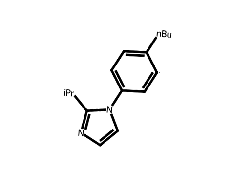 CCCCc1[c]cc(-n2ccnc2C(C)C)cc1